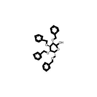 OC1O[C@H](COCc2ccccc2)[C@H](OCc2ccccc2)[C@@H](OCc2ccccc2)[C@@H]1OCc1ccccc1